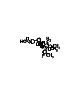 CC1=C(CN(C)C)C(=O)N(c2ccc(F)c(C)c2)C(=O)C1=NNc1cccc(C2CCN(CC(=O)O)CC2)c1O